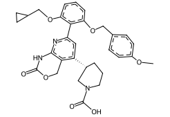 COc1ccc(COc2cccc(OCC3CC3)c2-c2cc([C@@H]3CCCN(C(=O)O)C3)c3c(n2)NC(=O)OC3)cc1